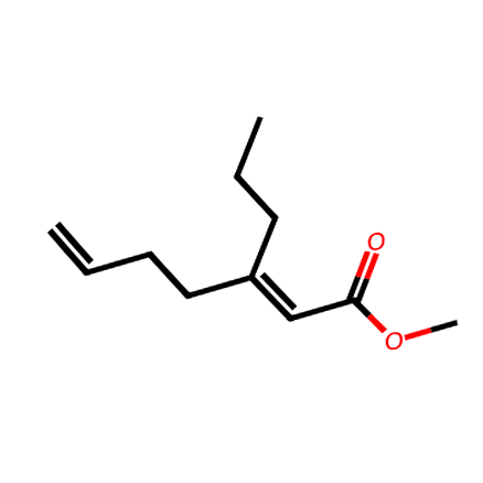 C=CCC/C(=C/C(=O)OC)CCC